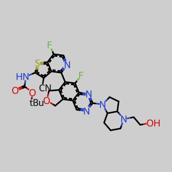 CC(C)(C)OC(=O)Nc1sc2c(F)cnc(-c3c4c(c5cnc(N6CCC7C6CCCN7CCO)nc5c3F)COC4)c2c1C#N